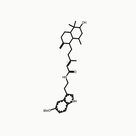 C=C1CCC2C(C(C)CC(O)C2(C)C)C1CC/C(C)=C/C(=O)NCCc1c[nH]c2ccc(OC)cc12